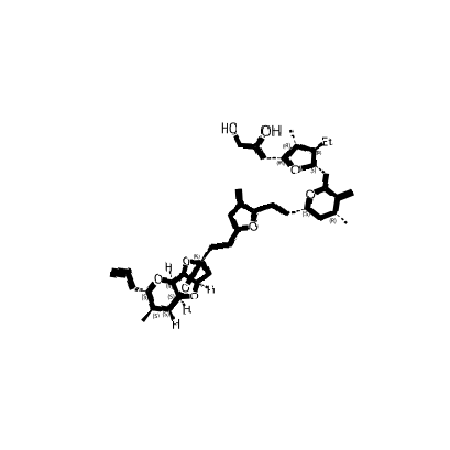 C=CC[C@@H]1O[C@H]2C3O[C@]4(CCC5CC(=C)C(CC[C@H]6C[C@@H](C)C(=C)C(C[C@@H]7O[C@H](CC(O)CO)[C@H](C)[C@H]7CC)O6)O5)C[C@H]3O[C@H]2[C@@H](O4)[C@H]1C